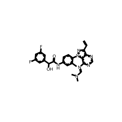 C=Cc1nn(-c2ccc(NC(=O)C(O)c3cc(F)cc(F)c3)cc2C)c2c(/N=C/N(C)C)ncnc12